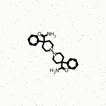 NC(=O)C1(c2ccccc2)CCN(N2CCC(C(N)=O)(c3ccccc3)CC2)CC1